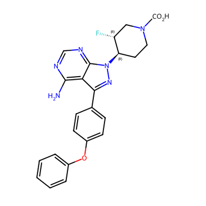 Nc1ncnc2c1c(-c1ccc(Oc3ccccc3)cc1)nn2[C@@H]1CCN(C(=O)O)C[C@H]1F